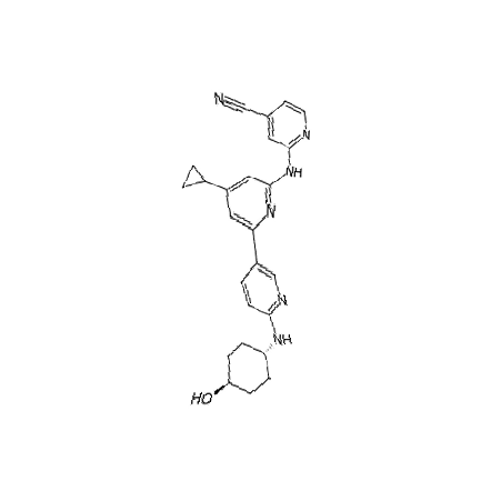 N#Cc1ccnc(Nc2cc(C3CC3)cc(-c3ccc(N[C@H]4CC[C@H](O)CC4)nc3)n2)c1